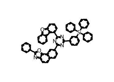 c1ccc(-c2nc3ccc4ccc(-c5nc(-c6cccc([Si](c7ccccc7)(c7ccccc7)c7ccccc7)c6)nc(-c6cccc7oc8ccccc8c67)n5)cc4c3o2)cc1